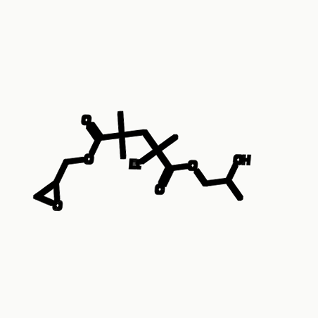 CCC(C)(CC(C)(C)C(=O)OCC1CO1)C(=O)OCC(C)O